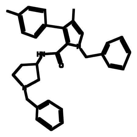 Cc1ccc(-c2c(C)cn(Cc3ccccc3)c2C(=O)NC2CCN(Cc3ccccc3)C2)cc1